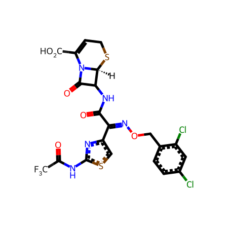 O=C(O)C1=CCS[C@H]2C(NC(=O)C(=NOCc3ccc(Cl)cc3Cl)c3csc(NC(=O)C(F)(F)F)n3)C(=O)N12